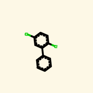 Clc1ccc(Cl)c(-c2c[c]ccc2)c1